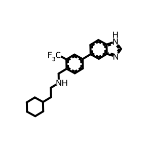 FC(F)(F)c1cc(-c2ccc3[nH]cnc3c2)ccc1CNCCC1CCCCC1